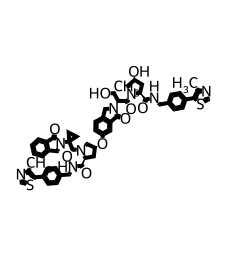 Cc1ncsc1-c1ccc(CNC(=O)[C@@H]2C[C@@H](O)CN2C(=O)[C@H]([C@H](C)O)N2Cc3ccc(O[C@@H]4C[C@@H](C(=O)NCc5ccc(-c6scnc6C)cc5)N(C(=O)C5(N6Cc7ccccc7C6=O)CC5)C4)cc3C2=O)cc1